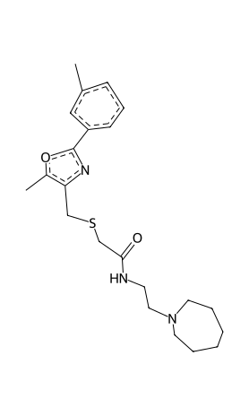 Cc1cccc(-c2nc(CSCC(=O)NCCN3CCCCCC3)c(C)o2)c1